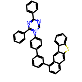 c1ccc(-c2nc[n+](-c3ccc(-c4cccc(-c5cccc6cc7sc8ccccc8c7cc56)c4)cc3)c(-c3ccccc3)n2)cc1